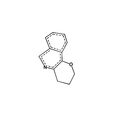 c1ccc2c3c(ncc2c1)CCCO3